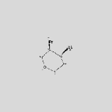 CC[C@H]1CCOC[C@H]1C(C)C